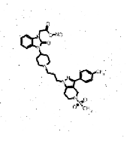 CS(=O)(=O)N1CCc2c(c(-c3ccc(C(F)(F)F)cc3)nn2CCCN2CCC(n3c(=O)n(CC(=O)ON=O)c4ccccc43)CC2)C1